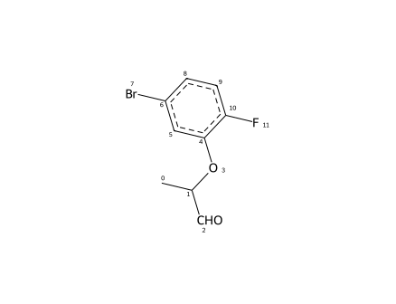 CC(C=O)Oc1cc(Br)ccc1F